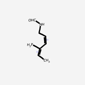 C/C=C(P)\C=C/CNC=O